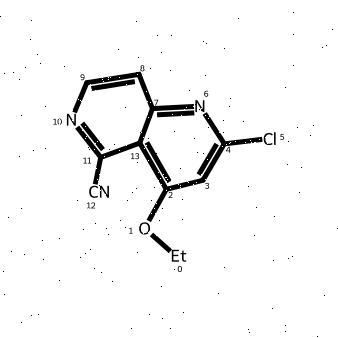 CCOc1cc(Cl)nc2ccnc(C#N)c12